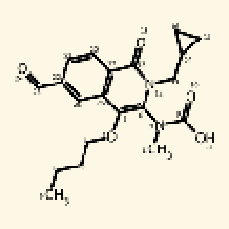 CCCCOc1c(N(C)C(=O)O)n(CC2CC2)c(=O)c2ccc(C=O)cc12